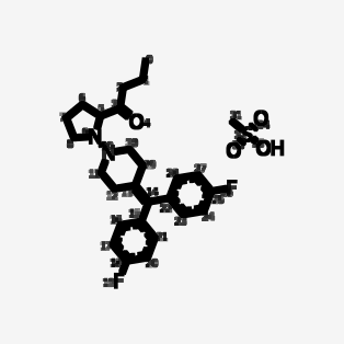 CCCC(=O)C1CCCN1N1CCC(=C(c2ccc(F)cc2)c2ccc(F)cc2)CC1.CS(=O)(=O)O